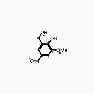 COc1cc(CO)cc(CO)c1O